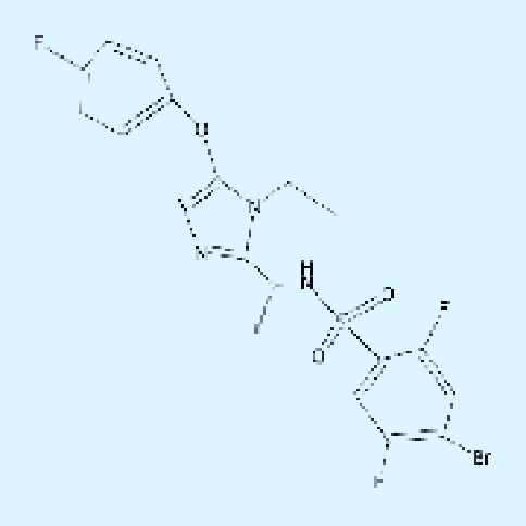 CCn1c(Oc2ccc(F)cc2)nnc1[C@@H](C)NS(=O)(=O)c1cc(F)c(Br)cc1F